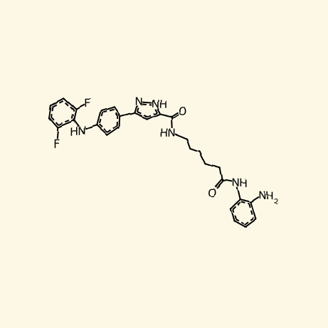 Nc1ccccc1NC(=O)CCCCCNC(=O)c1cc(-c2ccc(Nc3c(F)cccc3F)cc2)n[nH]1